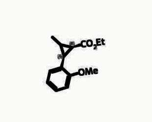 CCOC(=O)[C@@H]1C(C)[C@@H]1c1ccccc1OC